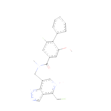 CCOc1cc(C(=O)N(C)Cc2c[n+](O)c(CF)c3cn[nH]c23)cc(F)c1-c1ccccc1